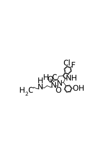 C=CCNCCCN1C(=O)N2C(c3cccc(O)c3)c3[nH]c4cc(F)c(Cl)cc4c3CC2(C)C1=O